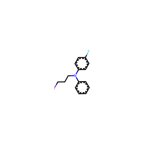 Fc1ccc(N(CCCI)c2ccccc2)cc1